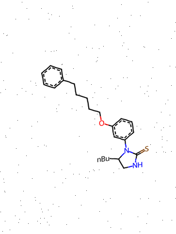 CCCCC1CNC(=S)N1c1cccc(OCCCCCc2ccccc2)c1